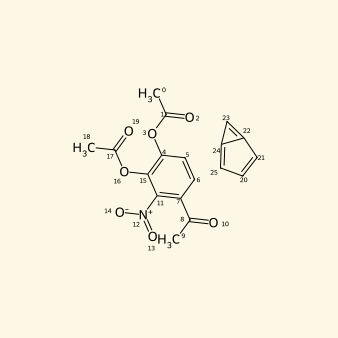 CC(=O)Oc1ccc(C(C)=O)c([N+](=O)[O-])c1OC(C)=O.c1cc2cc-2c1